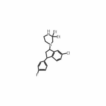 CCC1(CC)CN(C2CC(c3ccc(F)cc3)c3ccc(Cl)cc32)CCN1